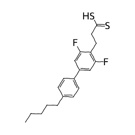 CCCCCc1ccc(-c2cc(F)c(CCC(=S)S)c(F)c2)cc1